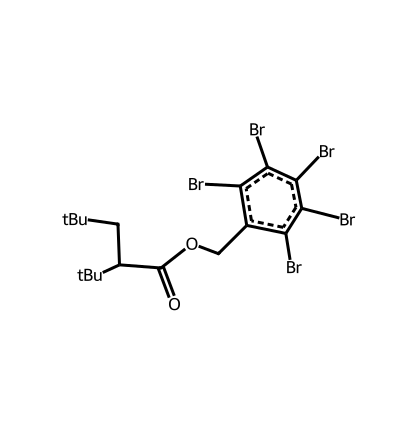 CC(C)(C)CC(C(=O)OCc1c(Br)c(Br)c(Br)c(Br)c1Br)C(C)(C)C